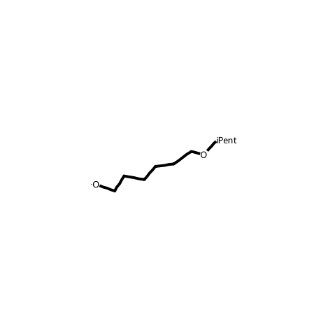 CCCC(C)OCCCCCC[O]